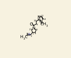 C/N=C/C1CCN(C(=O)CCc2nccn2C)C1